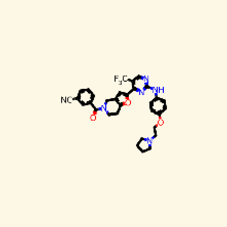 N#Cc1cccc(C(=O)N2CCc3oc(-c4nc(Nc5ccc(OCCN6CCCC6)cc5)ncc4C(F)(F)F)cc3C2)c1